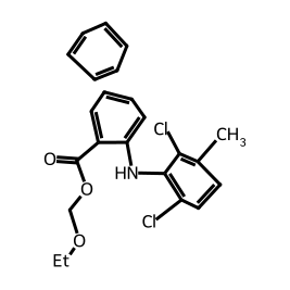 CCOCOC(=O)c1ccccc1Nc1c(Cl)ccc(C)c1Cl.c1ccccc1